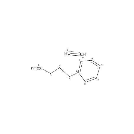 C#C.CCCCCCCCCc1ccccc1